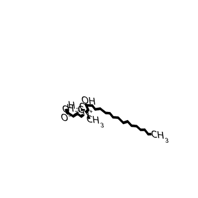 CCCCCCCCCCCCCCCC(C)(O)C[N+](C)(C)CCCC(=O)[O-]